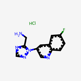 Cl.NCc1ncnn1-c1cnc2ccc(F)cc2c1